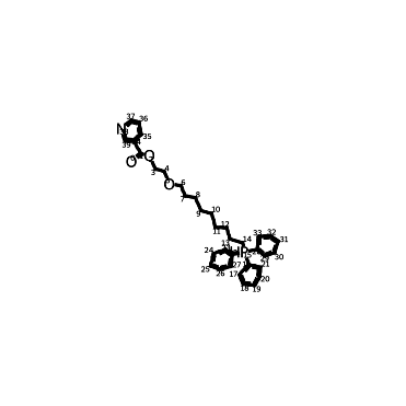 O=C(OCCOCCCCCCCCC[PH](c1ccccc1)(c1ccccc1)c1ccccc1)c1cccnc1